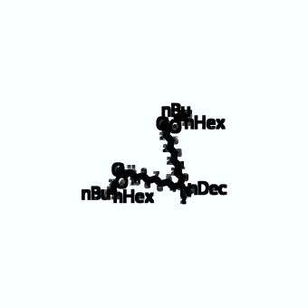 CCCCCCCCCCN(I)C(CCCCCCCCC(=O)OCC(CCCC)CCCCCC)CCCCCCCCC(=O)OCC(CCCC)CCCCCC